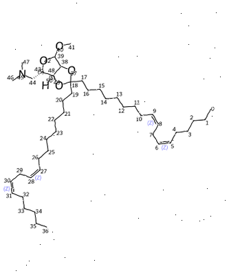 CCCCC/C=C\C/C=C\CCCCCCCCC1(CCCCCCCC/C=C\C/C=C\CCCCC)OC2C(OC)O[C@@H](CN(C)C)[C@@H]2O1